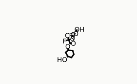 O=C(OC1CCCC(O)C1)C(F)(SOOO)C(F)(F)F